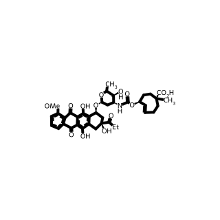 CCC(=O)[C@]1(O)Cc2c(O)c3c(c(O)c2[C@@H](O[C@H]2C[C@@H](NC(=O)O[C@@H]4/C=C/CC[C@](C)(C(=O)O)CC4)[C@H](O)C(C)O2)C1)C(=O)c1c(OC)cccc1C3=O